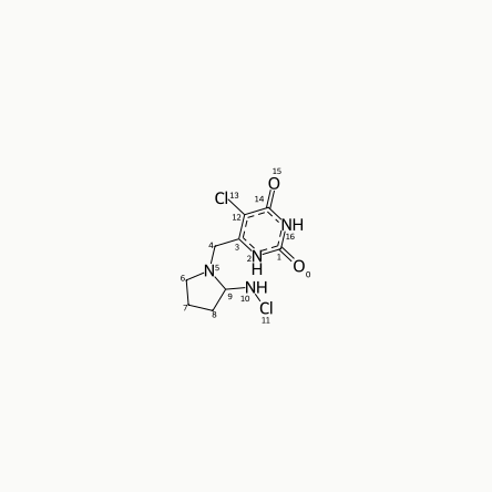 O=c1[nH]c(CN2CCCC2NCl)c(Cl)c(=O)[nH]1